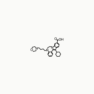 O=C(O)c1ccc2c(C3CCCCC3)c3n(c2c1)CCN(CCCCN1CCOCC1)c1ccccc1-3